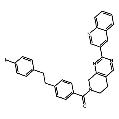 O=C(c1ccc(CCc2ccc(I)cc2)cc1)N1CCc2cnc(-c3cnc4ccccc4c3)nc2C1